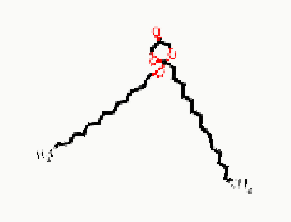 CCCCCCCCCCCCCCCC1(OCCCCCCCCCCCCCC)OCC(=O)CO1